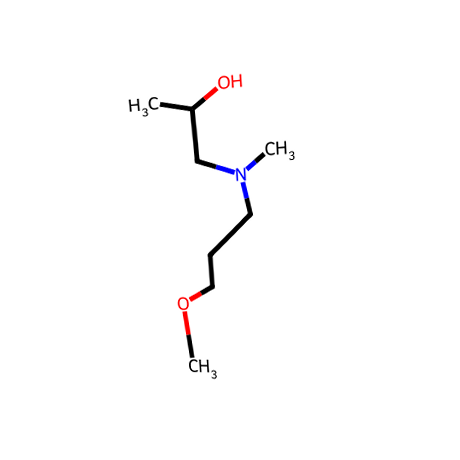 COCCCN(C)CC(C)O